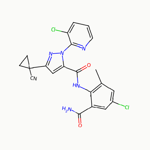 Cc1cc(Cl)cc(C(N)=O)c1NC(=O)c1cc(C2(C#N)CC2)nn1-c1ncccc1Cl